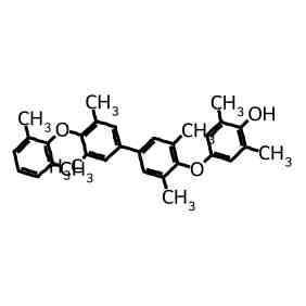 Cc1cc(Oc2c(C)cc(-c3cc(C)c(Oc4c(C)cccc4C)c(C)c3)cc2C)cc(C)c1O